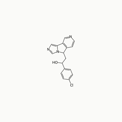 OC(CC1c2ccncc2-c2cncn21)c1ccc(Cl)cc1